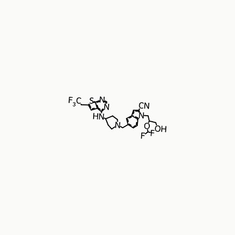 N#Cc1cc2cc(CN3CCC(Nc4ncnc5sc(CC(F)(F)F)cc45)CC3)ccc2n1CC(CO)OC(F)F